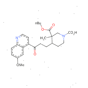 CCCCOC(=O)C1(C)CN(C(=O)O)CCC1CCC(=O)c1ccnc2ccc(OC)cc12